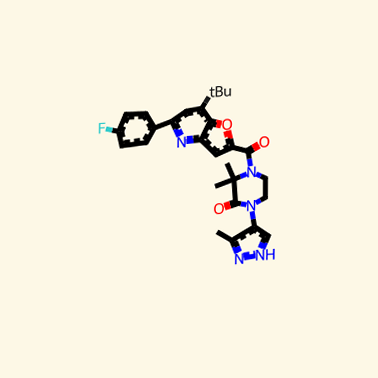 Cc1n[nH]cc1N1CCN(C(=O)c2cc3nc(-c4ccc(F)cc4)cc(C(C)(C)C)c3o2)C(C)(C)C1=O